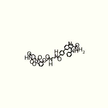 NC(=O)c1cnc2ccc(-c3ccc(C(=O)NCCNC(=O)COc4cccc5c4C(=O)N(C4CCC(=O)NC4=O)C5=O)cc3)cc2c1Nc1ccccc1